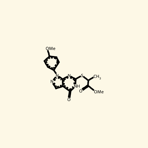 COC(=O)C(C)Sc1nc2c(cnn2-c2ccc(OC)cc2)c(=O)[nH]1